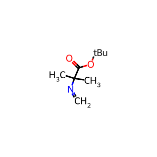 C=NC(C)(C)C(=O)OC(C)(C)C